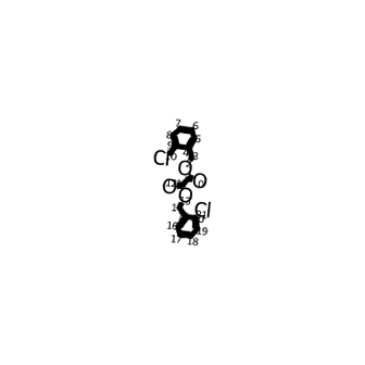 O=C(OCc1ccccc1Cl)C(=O)OCc1ccccc1Cl